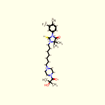 CC(C)(O)C(=O)N1CCN(CCCCCCCN2C(=S)N(c3ccc(C#N)c(C(F)(F)F)c3)C(=O)C2(C)C)CC1